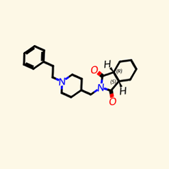 O=C1[C@H]2CCCC[C@H]2C(=O)N1CC1CCN(CCc2ccccc2)CC1